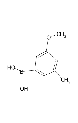 COc1cc(C)cc(B(O)O)c1